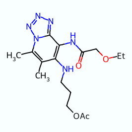 CCOCC(=O)Nc1c(NCCCOC(C)=O)c(C)c(C)n2nnnc12